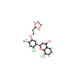 O=c1cc(-c2cc(OCCC3OCCO3)c(Br)cc2Cl)oc2c(Cl)cccc12